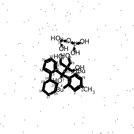 Cc1cc(C(C)(C)C)c(C(O)(c2ccccc2C2CCCCC2)C(CO)(CO)CO)c(C(C)(C)C)c1.OP(O)OP(O)O